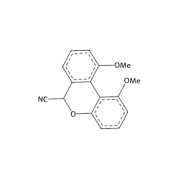 COc1cccc2c1-c1c(OC)cccc1C(C#N)O2